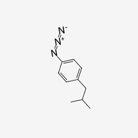 CC(C)Cc1ccc(N=[N+]=[N-])cc1